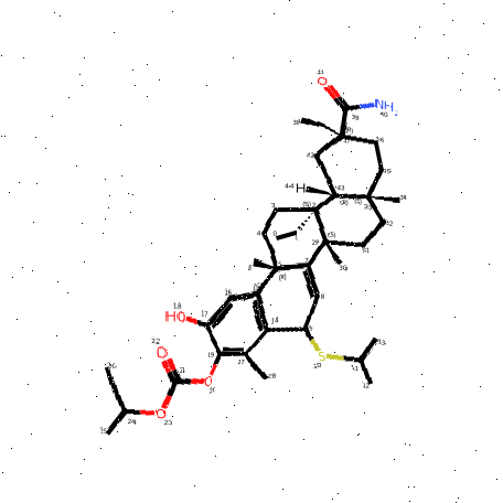 CC[C@@]12CC[C@]3(C)C(=CC(SC(C)C)c4c3cc(O)c(OC(=O)OC(C)C)c4C)[C@@]1(C)CC[C@@]1(C)CC[C@@](C)(C(N)=O)C[C@H]12